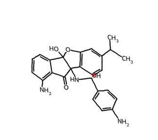 CC(C)c1ccc2c(c1)OC1(O)c3cccc(N)c3C(=O)C21NC(O)c1ccc(N)cc1